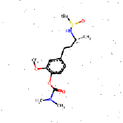 C[C@H](CCc1ccc(OC(=O)N(C)C)c(OC(F)(F)F)c1)N[S+]([O-])C(C)(C)C